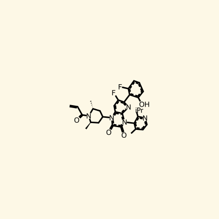 C=CC(=O)N1[C@H](C)CC(n2c(=O)c(=O)n(-c3c(C)ccnc3C(C)C)c3nc(-c4c(O)cccc4F)c(F)cc32)C[C@H]1C